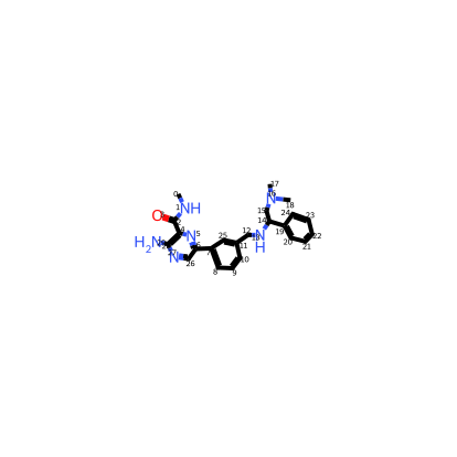 CNC(=O)c1nc(-c2cccc(CNC(CN(C)C)c3ccccc3)c2)cnc1N